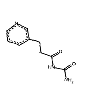 NC(=O)NC(=O)[CH]Cc1cccnc1